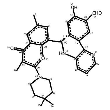 Cc1cc([C@@H](C)Nc2cccnc2-c2ccc(O)c(C=O)c2)c2oc(N3CCC(C)(C)CC3)c(C)c(=O)c2c1